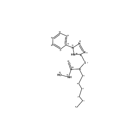 CCCCCCC(SC1N=NN(c2ccccc2)N1)C(=O)NO